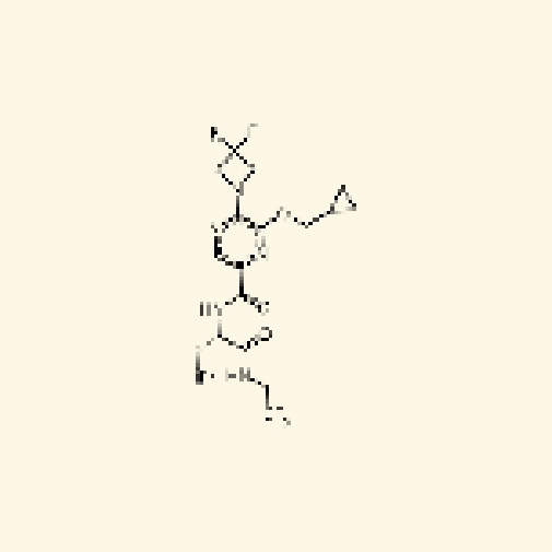 CC(C)C[C@H](NC(=O)c1cnc(N2CC(F)(F)C2)c(OCC2CC2)n1)C(=O)NCC(F)(F)F